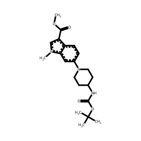 COC(=O)c1cn(C)c2cc(N3CCC(NC(=O)OC(C)(C)C)CC3)ccc12